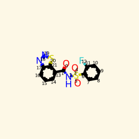 O=C(NS(=O)(=O)c1ccccc1F)c1cccc2nnsc12